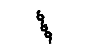 C=CC1CCC(CCC2CCC(C3CCC(CCC)CC3)CO2)CC1